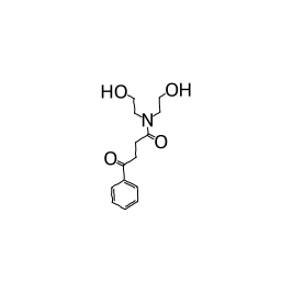 O=C(CCC(=O)N(CCO)CCO)c1ccccc1